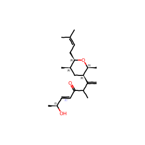 C=C(C(C)C(=O)/C=C/[C@H](C)O)[C@H]1C[C@@H](C)[C@@H](CC=C(C)C)O[C@H]1C